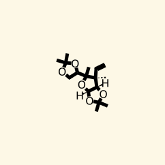 C=C[C@@]1(C)[C@H]2OC(C)(C)O[C@H]2OC1(C)C1COC(C)(C)O1